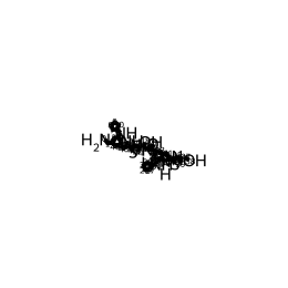 NCc1cc(NC2CCCC2)c2[nH]c(C3=N[C@H](C(O)NC(=O)c4cc(NC5CCCC5)c5[nH]c(C6=N[C@H](CO)CS6)cc5c4)CS3)cc2c1